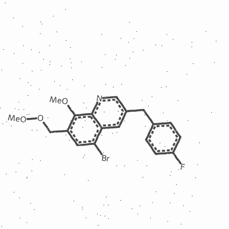 COOCc1cc(Br)c2cc(Cc3ccc(F)cc3)cnc2c1OC